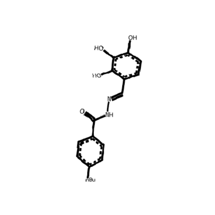 CCCCc1ccc(C(=O)N/N=C/c2ccc(O)c(O)c2O)cc1